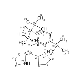 CC(C)(C)C(P)(c1ccc([Si](C)(C)C)cc1CP(C1CCCN1)C1CCCN1)C(C)(C)C